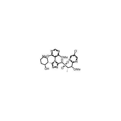 COc1ncnc(OC)c1-n1c(NS(=O)(=O)[C@@H](C)[C@H](OC)c2ncc(Cl)cn2)nnc1[C@H]1CCCC[C@@H]1O